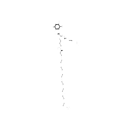 C=CCOC(=O)N[C@@H](CCCCNC(=O)CCOCCOCCOCCOCCOCCOCCOCCOC)C(=O)Oc1c(F)c(F)c(F)c(F)c1F